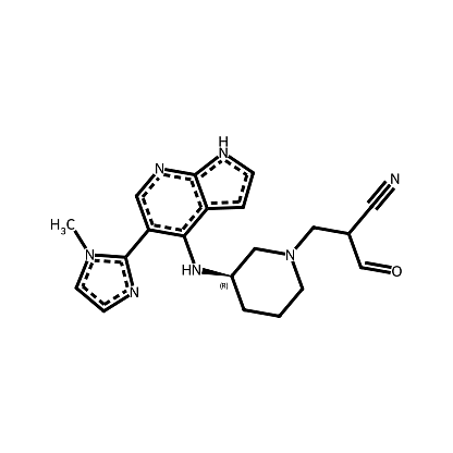 Cn1ccnc1-c1cnc2[nH]ccc2c1N[C@@H]1CCCN(CC(C#N)C=O)C1